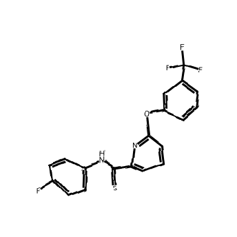 Fc1ccc(NC(=S)c2cccc(Oc3cccc(C(F)(F)F)c3)n2)cc1